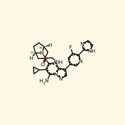 Nc1c(C2CC2)c([C@@H]2C[C@H]3CC[C@@H](C2)N3C(=O)CO)nc2c(-c3cnc(-c4ncc[nH]4)c(F)c3)cnn12